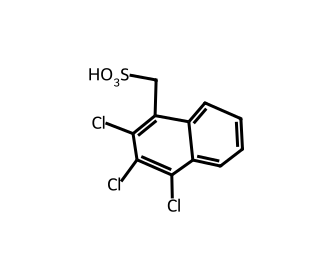 O=S(=O)(O)Cc1c(Cl)c(Cl)c(Cl)c2ccccc12